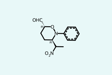 CC([C@H]1CC[C@H](C=O)ON1c1ccccc1)[N+](=O)[O-]